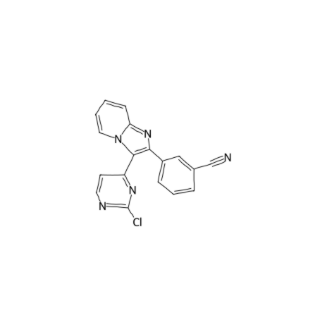 N#Cc1cccc(-c2nc3ccccn3c2-c2ccnc(Cl)n2)c1